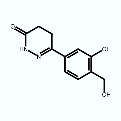 O=C1CCC(c2ccc(CO)c(O)c2)=NN1